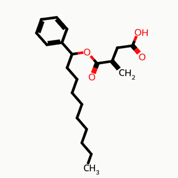 C=C(CC(=O)O)C(=O)OC(CCCCCCCCC)c1ccccc1